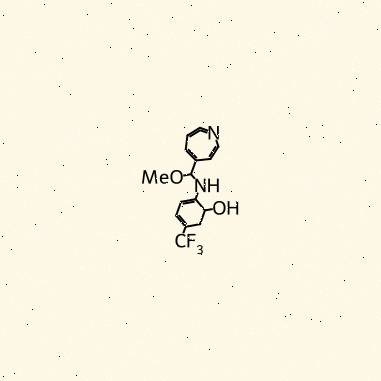 COC(NC1=CC=C(C(F)(F)F)CC1O)C1=CC=C=NC=C1